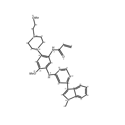 C=CC(=O)Nc1cc(Nc2cc(-c3cn(C)c4ccccc34)ncn2)c(OC)cc1N1CCN(CCOC)CC1